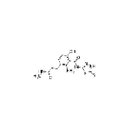 CNC(=O)CCc1ccc(O)c(C(=O)Nc2n[nH]c(=S)s2)c1N